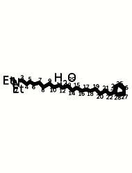 CCN(CC)CCCCCCCCCCCCCCCCCCCCc1ccccc1.O